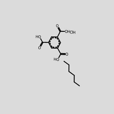 CCCCCC.Cl.O=C(O)c1cc(C(=O)O)cc(C(=O)O)c1